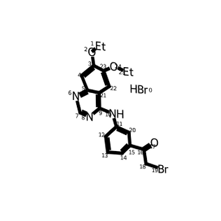 Br.CCOc1cc2ncnc(Nc3cccc(C(=O)CBr)c3)c2cc1OCC